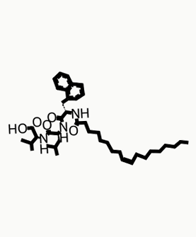 CCCCCCCC/C=C\CCCCCCCC(=O)N[C@@H](Cc1cccc2ccccc12)C(=O)N[C@@H](CC(C)C)C(=O)N[C@H](C(=O)O)C(C)C